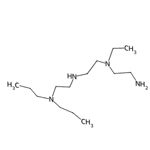 CCCN(CCC)CCNCCN(CC)CCN